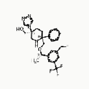 C[C@H](OC[C@]1(c2ccccc2)CC[C@](CO)(n2cnnc2)CN1)c1cc(CF)cc(C(F)(F)F)c1